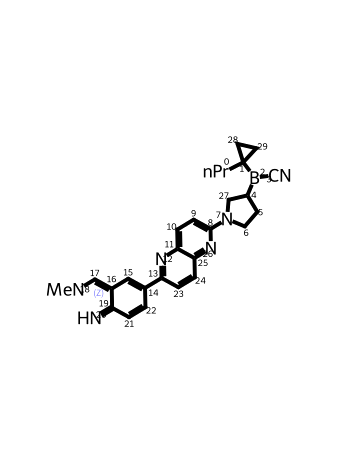 CCCC1(B(C#N)C2CCN(c3ccc4nc(C5=C/C(=C/NC)C(=N)C=C5)ccc4n3)C2)CC1